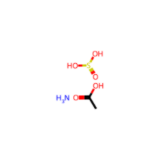 CC(=O)O.N.O=S(O)O